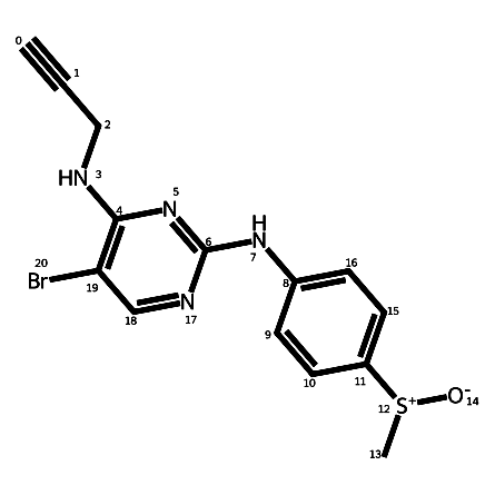 C#CCNc1nc(Nc2ccc([S+](C)[O-])cc2)ncc1Br